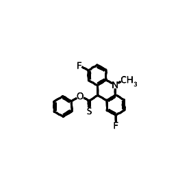 CN1c2ccc(F)cc2C(C(=S)Oc2ccccc2)c2cc(F)ccc21